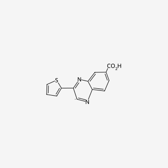 O=C(O)c1ccc2n[c]c(-c3cccs3)nc2c1